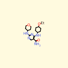 CCOC1CCC(Nc2nc(NC3CCOCC3)ncc2C(N)=O)CC1